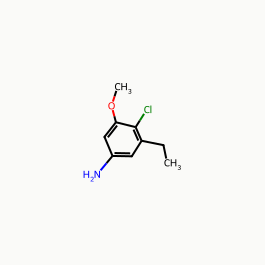 CCc1cc(N)cc(OC)c1Cl